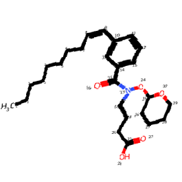 CCCCCCCC/C=C\c1cccc(C(=O)N(CCCC(=O)O)OC2CCCCO2)c1